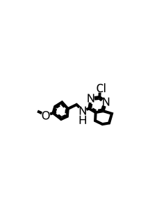 COc1ccc(CNc2nc(Cl)nc3c2CCCC3)cc1